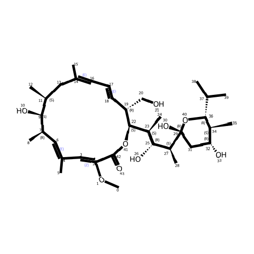 CO/C1=C\C(C)=C\[C@@H](C)[C@@H](O)[C@@H](C)C/C(C)=C/C=C/[C@H](CO)[C@@H]([C@@H](C)[C@@H](O)[C@H](C)[C@@]2(O)C[C@@H](O)[C@H](C)[C@@H](C(C)C)O2)OC1=O